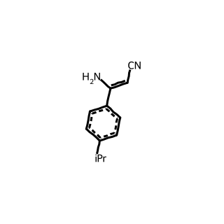 CC(C)c1ccc(C(N)=CC#N)cc1